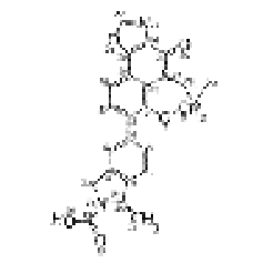 COc1c(-c2ccc3c(c2)CN(C(=O)O)[C@@H]3C)ccc2c3ocnc3c(=O)n(C3CC3)c12